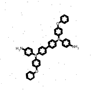 Nc1ccc(N(c2ccc(OC3=CC=CCC3)cc2)c2ccc(-c3ccc(N(c4ccc(N)cc4)c4ccc(Oc5ccccc5)cc4)cc3)cc2)cc1